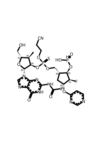 CC(C)C(=O)Nc1nc2c(ncn2[C@@H]2O[C@H](CO)[C@@H](C)[C@H]2OP(=S)(OCCC#N)OC[C@H]2C[C@@H](Oc3ccncn3)[C@H](F)[C@@H]2O[PH](=O)O)c(=O)[nH]1